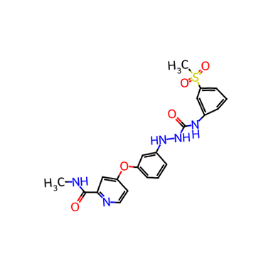 CNC(=O)c1cc(Oc2cccc(NNC(=O)Nc3cccc(S(C)(=O)=O)c3)c2)ccn1